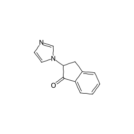 O=C1c2ccccc2CC1n1ccnc1